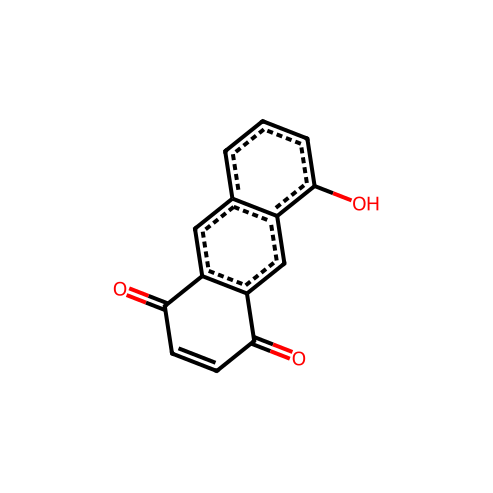 O=C1C=CC(=O)c2cc3c(O)cccc3cc21